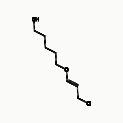 OCCCCCOC=CCCl